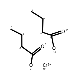 CCCC(=O)[O-].CCCC(=O)[O-].[Cr+2]